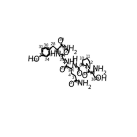 NC(=O)CC[C@H](NC(=O)[C@@H]1CCCN1C(=O)[C@@H](N)CO)C(=O)NCC(=O)N[C@@H](Cc1ccc(O)cc1)C(N)=O